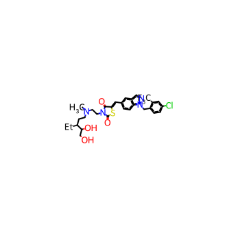 CCC(CCN(C)CCN1C(=O)S/C(=C\c2ccc3c(cnn3Cc3ccc(Cl)cc3C(F)(F)F)c2)C1=O)C(O)CO